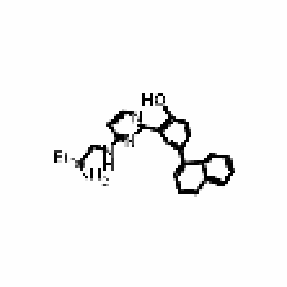 CC[C@@H](N)CNc1ccnc(-c2cc(-c3cccc4ccccc34)ccc2O)n1